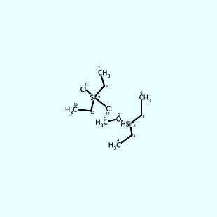 CC[SiH](CC)OC.CC[Si](Cl)(Cl)CC